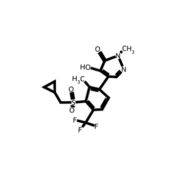 Cc1c(-c2cnn(C)c(=O)c2O)ccc(C(F)(F)F)c1S(=O)(=O)CC1CC1